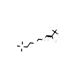 C[Si](C)(C)CCOCN/C=C(\N)C(F)(F)F